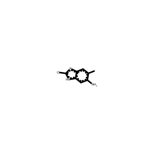 Nc1cc2[nH]c(Cl)nc2cc1I